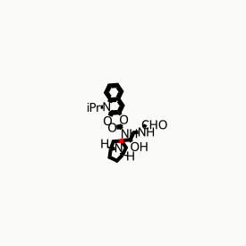 CC(C)n1c(=O)c(OC(=O)N[C@@H]2C[C@H]3CC[C@@H](C2)N3CC(O)CNC=O)cc2ccccc21